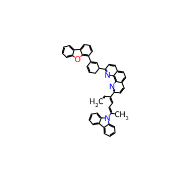 C=C/C(=C\C=C(/C)n1c2ccccc2c2ccccc21)c1ccc2ccc3ccc(C4C=C(c5cccc6c5oc5ccccc56)C=CC4)nc3c2n1